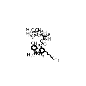 C=C(C)[C@@H]1CCC(C)=C[C@H]1c1c(O)cc(CCCCC)cc1OC(=O)OC1NC(=O)[C@@H]1[C@@H](C)O[Si](C)(C)C(C)(C)C